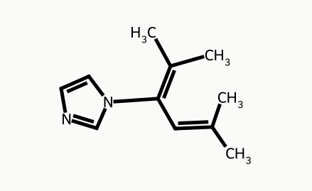 CC(C)=CC(=C(C)C)n1ccnc1